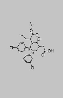 CCCC(C(=O)OCC)N1C(=O)C(CC(=O)O)C[C@H](c2cccc(Cl)c2)[C@H]1c1ccc(Cl)cc1